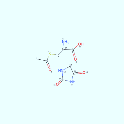 CC(=O)SC[C@H](N)C(=O)O.O=C1CNC(=O)N1